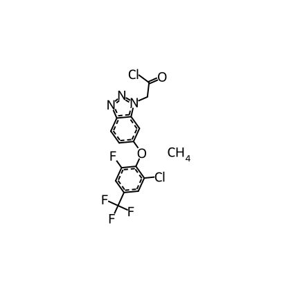 C.O=C(Cl)Cn1nnc2ccc(Oc3c(F)cc(C(F)(F)F)cc3Cl)cc21